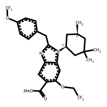 COC(=O)c1cc2nc(Cc3ccc(OC(F)(F)F)cc3)n([C@H]3C[C@@H](C)CC(C)(C)C3)c2cc1OCC(F)(F)F